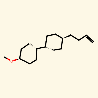 C=CCC[C@H]1CC[C@H]([C@H]2CC[C@H](OC)CC2)CC1